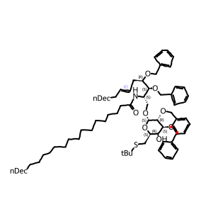 CCCCCCCCCCC/C=C/C[C@@H](OCc1ccccc1)[C@@H](OCc1ccccc1)[C@H](CO[C@H]1O[C@H](CSC(C)(C)C)[C@H](O)[C@H](OCc2ccccc2)[C@H]1OCc1ccccc1)NC(=O)CCCCCCCCCCCCCCCCCCCCCCCCC